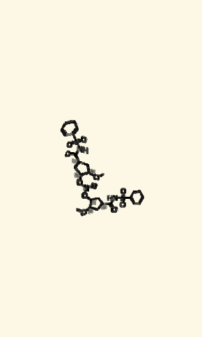 CO[C@@H]1C[C@H](C(=O)NS(=O)(=O)c2ccccc2)C[C@@H]1O[N+](=O)O[C@H]1C[C@@H](C(=O)NS(=O)(=O)c2ccccc2)C[C@H]1OC